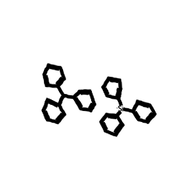 c1ccc([C](c2ccccc2)c2ccccc2)cc1.c1ccc([Si](c2ccccc2)c2ccccc2)cc1